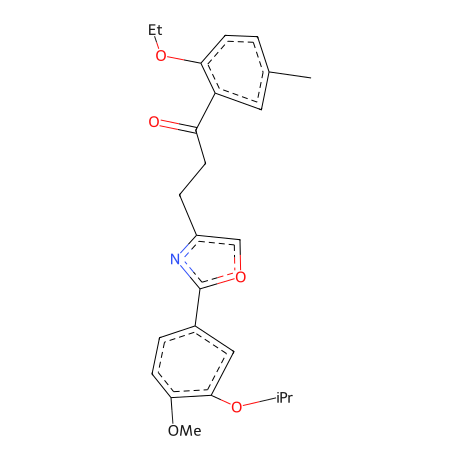 CCOc1ccc(C)cc1C(=O)CCc1coc(-c2ccc(OC)c(OC(C)C)c2)n1